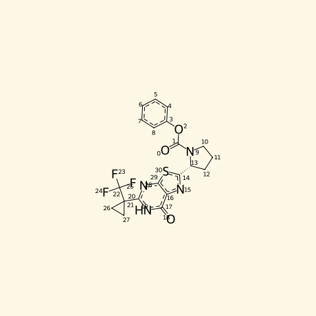 O=C(Oc1ccccc1)N1CCC[C@@H]1c1nc2c(=O)[nH]c(C3(C(F)(F)F)CC3)nc2s1